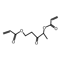 C=CC(=O)OCCC(=O)C(C)OC(=O)C=C